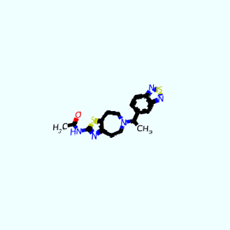 CC(=O)Nc1nc2c(s1)CCN(C(C)c1ccc3nsnc3c1)CC2